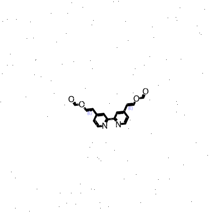 O=CO/C=C/c1ccnc(-c2cc(/C=C/OC=O)ccn2)c1